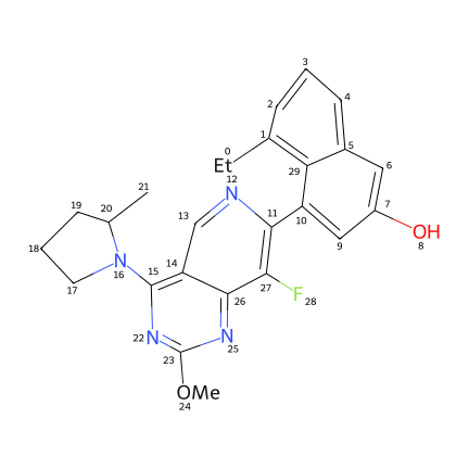 CCc1cccc2cc(O)cc(-c3ncc4c(N5CCCC5C)nc(OC)nc4c3F)c12